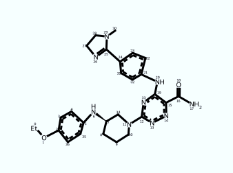 CCOc1ccc(N[C@@H]2CCCN(c3nnc(C(N)=O)c(Nc4ccc(C5=NCCN5C)cc4)n3)C2)cc1